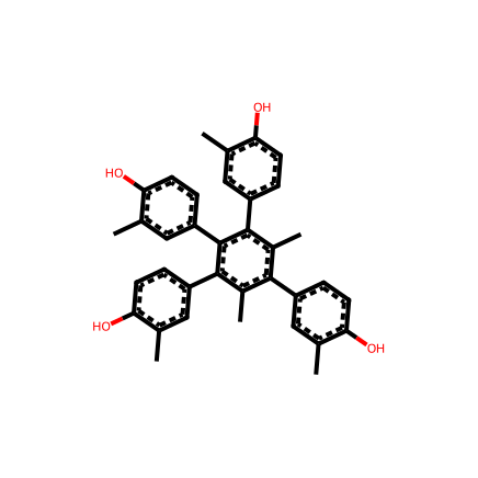 Cc1cc(-c2c(C)c(-c3ccc(O)c(C)c3)c(-c3ccc(O)c(C)c3)c(-c3ccc(O)c(C)c3)c2C)ccc1O